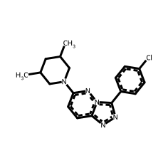 CC1CC(C)CN(c2ccc3nnc(-c4ccc(Cl)cc4)n3n2)C1